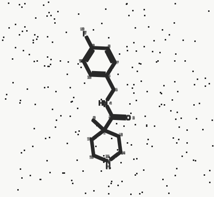 CC1(C(=O)NCc2ccc(F)cc2)CCNCC1